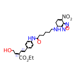 CCOC(=O)C(/C=C/c1ccc(NC(=O)CCCCCNC2CC=C([N+](=O)[O-])c3nonc32)cc1)=C/CO